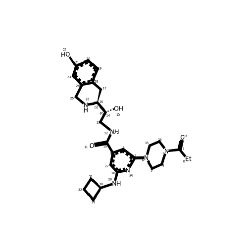 CCC(=O)N1CCN(c2cc(C(=O)NC[C@@H](O)[C@@H]3Cc4ccc(O)cc4CN3)cc(NC3CCC3)n2)CC1